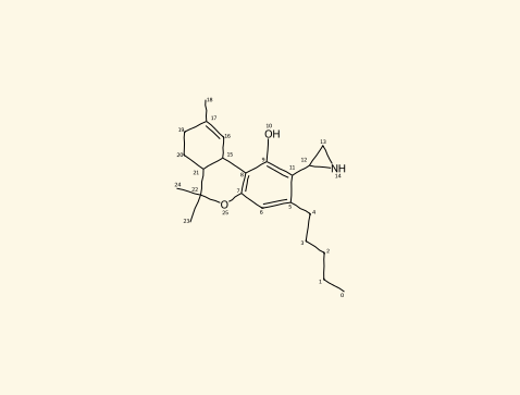 CCCCCc1cc2c(c(O)c1C1CN1)C1C=C(C)CCC1C(C)(C)O2